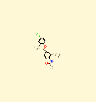 CCC(=O)Nc1ccc(COc2ccc(Cl)cc2C(F)(F)F)cc1C(=O)O